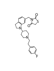 O=C1CSC(=O)N1Cc1ccc2c(c1)N(C1CCN(CCc3ccc(F)cc3)CC1)CC2